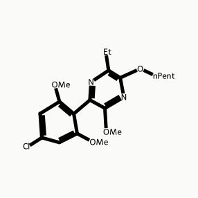 CCCCCOc1nc(OC)c(-c2c(OC)cc(Cl)cc2OC)nc1CC